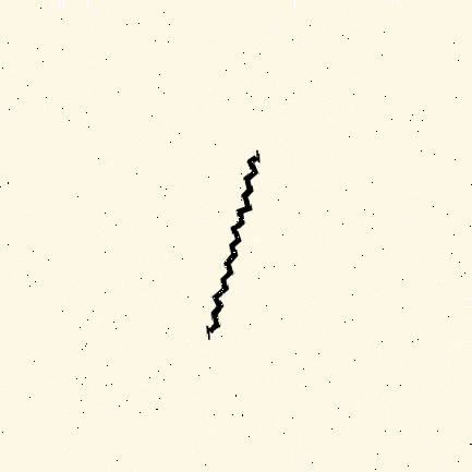 ICCCCCCCCCCCCCCCCCCCCI